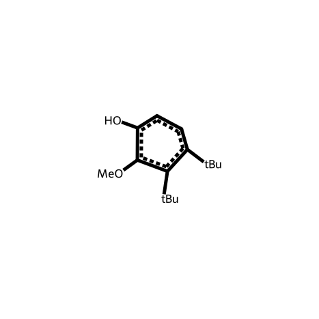 COc1c(O)ccc(C(C)(C)C)c1C(C)(C)C